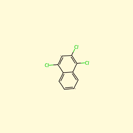 Clc1[c]c(Cl)c2cc[c]cc2c1Cl